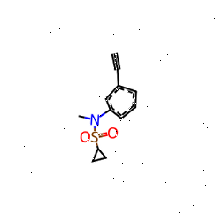 C#Cc1cccc(N(C)S(=O)(=O)C2CC2)c1